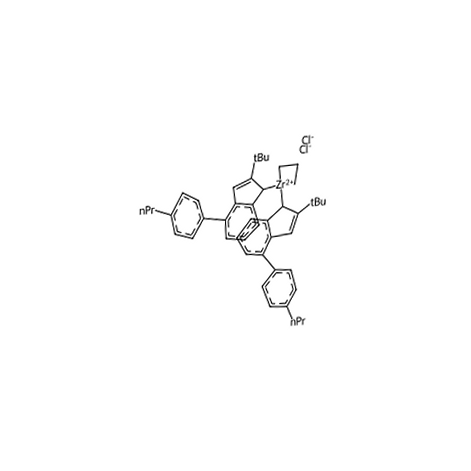 CCCc1ccc(-c2cccc3c2C=C(C(C)(C)C)[CH]3[Zr+2]2([CH]3C(C(C)(C)C)=Cc4c(-c5ccc(CCC)cc5)cccc43)[CH2]C[CH2]2)cc1.[Cl-].[Cl-]